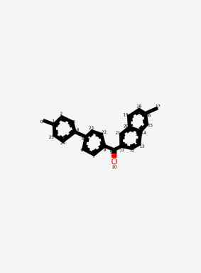 Cc1ccc(-c2ccc(C(=O)c3ccc4cc(C)ccc4c3)cc2)cc1